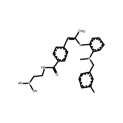 CCCN(CCC)CCNC(=O)c1ccc(/C=C(/C=O)Sc2ccccc2N(C)Cc2cccc(C)c2)cc1